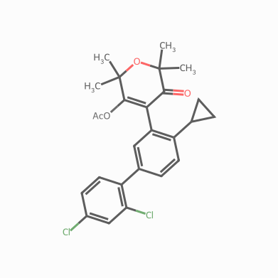 CC(=O)OC1=C(c2cc(-c3ccc(Cl)cc3Cl)ccc2C2CC2)C(=O)C(C)(C)OC1(C)C